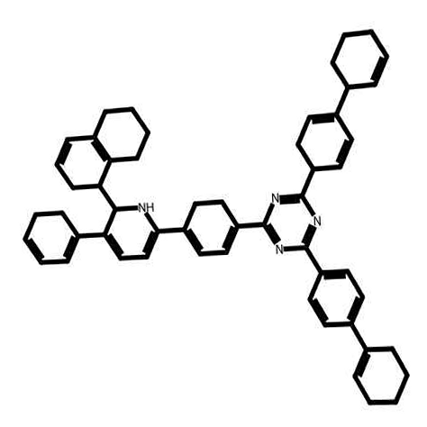 C1=CCCC(C2=CC=C(C3=CC=C(c4nc(-c5ccc(C6=CCCCC6)cc5)nc(C5C=CC(C6C=CCCC6)=CC5)n4)CC3)NC2C2CC=CC3=C2CCCC3)=C1